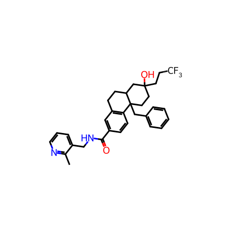 Cc1ncccc1CNC(=O)c1ccc2c(c1)CCC1CC(O)(CCC(F)(F)F)CCC21Cc1ccccc1